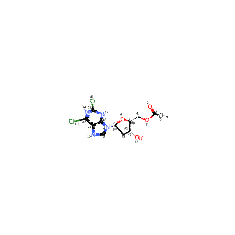 CC(=O)OC[C@H]1O[C@@H](n2cnc3c(Cl)nc(Cl)nc32)C[C@H]1O